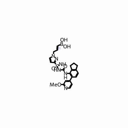 COc1cc(-c2ccc3c(c2NC(=O)NS(=N)(=O)c2ccn(C/C=C/B(O)O)n2)CCC3)ccn1